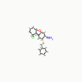 Nc1cc2oc3cccc(Cl)c3c2cc1SCc1ccccc1